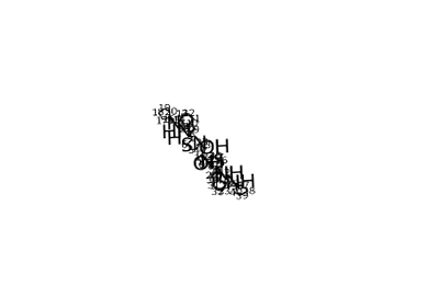 OCC(O)([C@@H]1CSC(c2cc3cccc(NC4CCCC4)c3[nH]2)=N1)[C@@H]1CSC(c2cc3cccc(NC4CCCC4)c3[nH]2)=N1